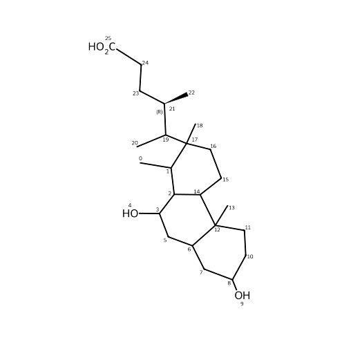 CC1C2C(O)CC3CC(O)CCC3(C)C2CCC1(C)C(C)[C@H](C)CCC(=O)O